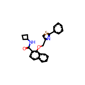 O=C(NC1CCC1)c1ccc2ccccc2c1OCc1csc(-c2ccccc2)n1